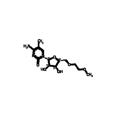 COCCOC[C@H]1O[C@@H](n2cc(C)c(N)nc2=O)[C@H](O)[C@@H]1O